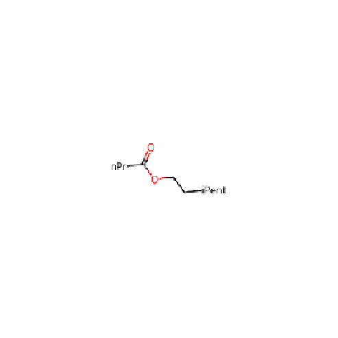 [CH2]CCC(C)CCOC(=O)CCC